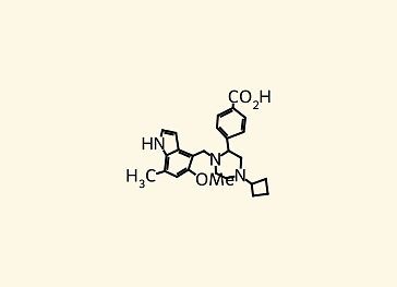 COc1cc(C)c2[nH]ccc2c1CN1CCN(C2CCC2)CC1c1ccc(C(=O)O)cc1